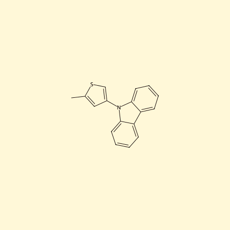 Cc1cc(-n2c3ccccc3c3ccccc32)cs1